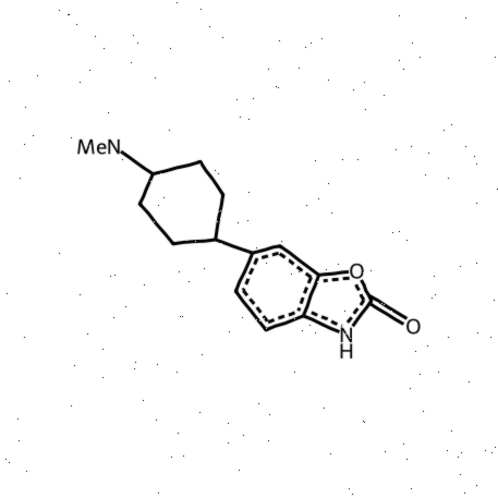 CNC1CCC(c2ccc3[nH]c(=O)oc3c2)CC1